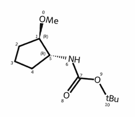 CO[C@@H]1CCC[C@H]1NC(=O)OC(C)(C)C